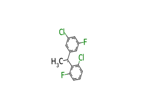 C[C](c1cc(F)cc(Cl)c1)c1c(F)cccc1Cl